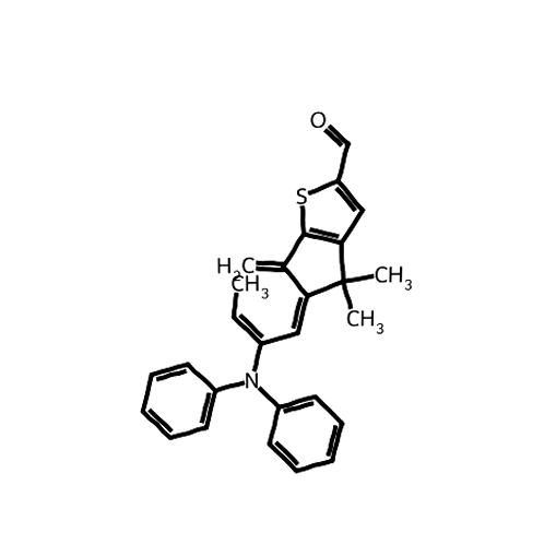 C=C1/C(=C\C(=C/C)N(c2ccccc2)c2ccccc2)C(C)(C)c2cc(C=O)sc21